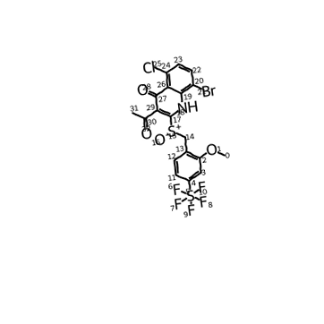 COc1cc(S(F)(F)(F)(F)F)ccc1C[S+]([O-])c1[nH]c2c(Br)ccc(Cl)c2c(=O)c1C(C)=O